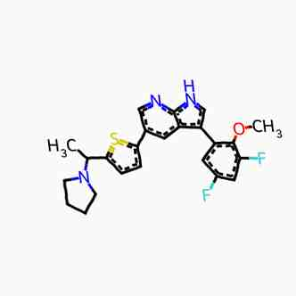 COc1c(F)cc(F)cc1-c1c[nH]c2ncc(-c3ccc(C(C)N4CCCC4)s3)cc12